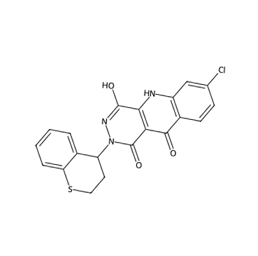 O=c1c2ccc(Cl)cc2[nH]c2c(O)nn(C3CCSc4ccccc43)c(=O)c12